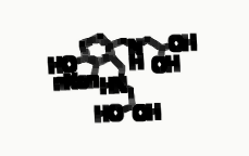 CCCCCCCCCc1c(O)ccc(CNCC(O)O)c1CNCC(O)O